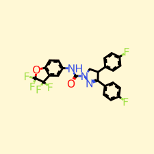 O=C(Nc1ccc2c(c1)C(F)(F)C(F)(F)O2)N1CC(c2ccc(F)cc2)C(c2ccc(F)cc2)=N1